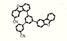 N#Cc1cccc(-c2cc(-c3ccc4oc5ccccc5c4c3)cc(-c3cccc4oc5ccc(C#N)cc5c34)c2)c1